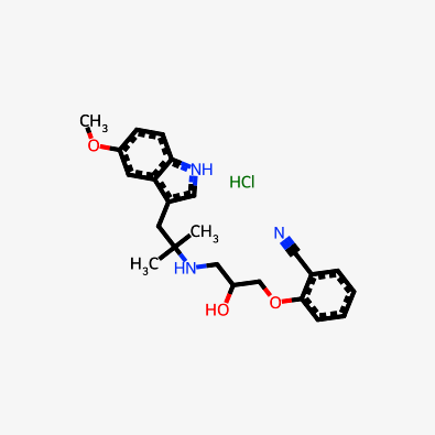 COc1ccc2[nH]cc(CC(C)(C)NCC(O)COc3ccccc3C#N)c2c1.Cl